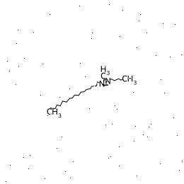 CCCCCCCCCCCCCCCCCC[n+]1ccn(CCCCC)c1C